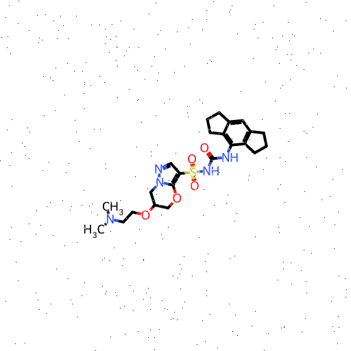 CN(C)CCOC1COc2c(S(=O)(=O)NC(=O)Nc3c4c(cc5c3CCC5)CCC4)cnn2C1